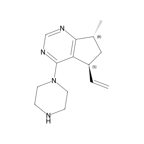 C=C[C@@H]1C[C@@H](C)c2ncnc(N3CCNCC3)c21